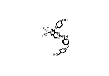 C[C@@H](O)c1cc2cnc(Nc3ccc(CN4CCC(CO)CC4)cn3)nc2c(N2CCC(O)CC2)n1